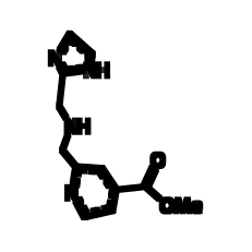 COC(=O)c1ccnc(CNCc2ncc[nH]2)c1